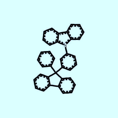 c1ccc(C2(c3cccc(-n4c5ccccc5c5ccccc54)c3)c3ccccc3-c3ccccc32)cc1